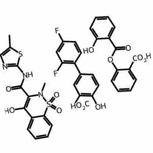 Cc1cnc(NC(=O)C2=C(O)c3ccccc3S(=O)(=O)N2C)s1.O=C(O)c1cc(-c2ccc(F)cc2F)ccc1O.O=C(Oc1ccccc1C(=O)O)c1ccccc1O